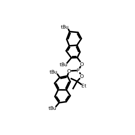 CCC(C)(C)OP(Oc1cc2ccc(C(C)(C)C)cc2cc1C(C)(C)C)Oc1cc2ccc(C(C)(C)C)cc2cc1C(C)(C)C